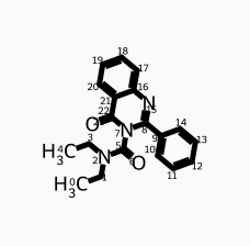 CCN(CC)C(=O)n1c(-c2ccccc2)nc2ccccc2c1=O